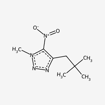 Cn1nnc(CC(C)(C)C)c1[N+](=O)[O-]